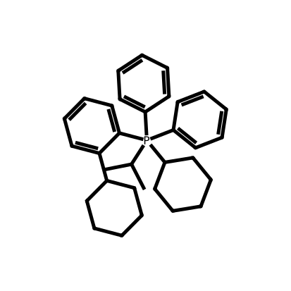 CC(C)P(c1ccccc1)(c1ccccc1)(c1ccccc1C1CCCCC1)C1CCCCC1